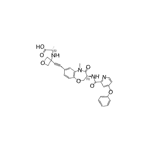 C[C@H](NC1(C#Cc2ccc3c(c2)N(C)C(=O)[C@@H](NC(=O)c2cc(Oc4ccccc4)ccn2)CO3)COC1)C(=O)O